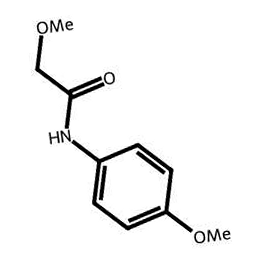 [CH2]OCC(=O)Nc1ccc(OC)cc1